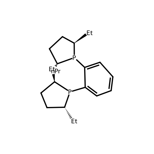 CCC[C@@H]1CC[C@@H](CC)P1c1ccccc1P1[C@H](CC)CC[C@H]1CC